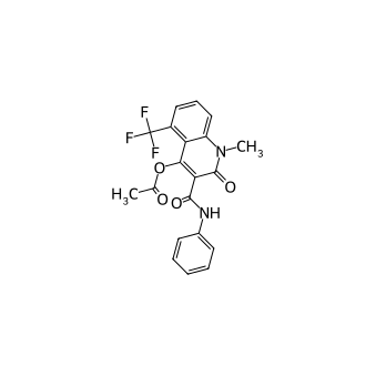 CC(=O)Oc1c(C(=O)Nc2ccccc2)c(=O)n(C)c2cccc(C(F)(F)F)c12